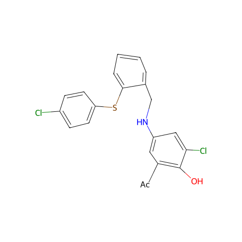 CC(=O)c1cc(NCc2ccccc2Sc2ccc(Cl)cc2)cc(Cl)c1O